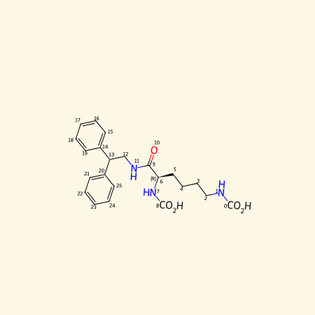 O=C(O)NCCCC[C@@H](NC(=O)O)C(=O)NCC(c1ccccc1)c1ccccc1